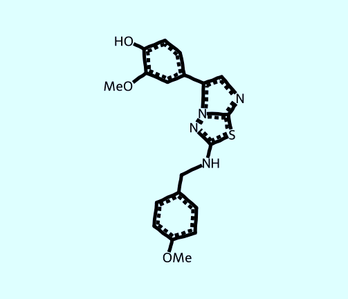 COc1ccc(CNc2nn3c(-c4ccc(O)c(OC)c4)cnc3s2)cc1